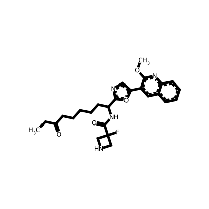 CCC(=O)CCCCCC(NC(=O)C1(F)CNC1)c1ncc(-c2cc3ccccc3nc2OC)o1